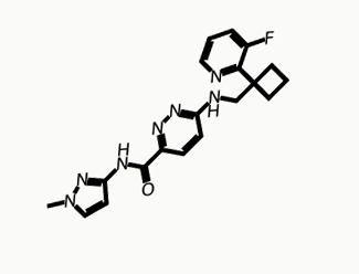 Cn1ccc(NC(=O)c2ccc(NCC3(c4ncccc4F)CCC3)nn2)n1